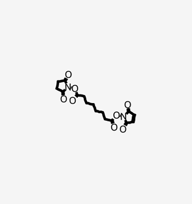 O=C(CCCCCCC(=O)ON1C(=O)CCC1=O)ON1C(=O)C=CC1=O